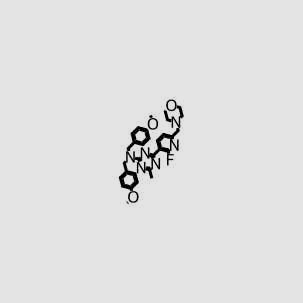 COc1ccc(CN(Cc2ccc(OC)cc2)c2nc(C)nc(-c3ccc(CN4CCOCC4)nc3F)n2)cc1